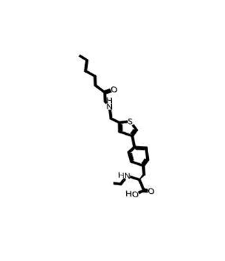 CCCCCC(=O)CNCc1cc(-c2ccc(C[C@H](NCC)C(=O)O)cc2)cs1